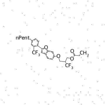 C=CC(=O)OCC(COc1ccc2cc(-c3ccc(CCCCC)cc3C(F)(F)F)oc2c1)C(F)(F)F